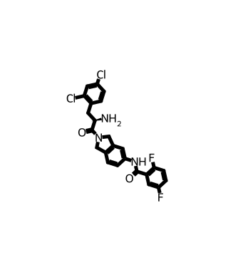 N[C@H](Cc1ccc(Cl)cc1Cl)C(=O)N1Cc2ccc(NC(=O)c3cc(F)ccc3F)cc2C1